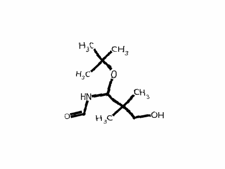 CC(C)(C)OC(NC=O)C(C)(C)CO